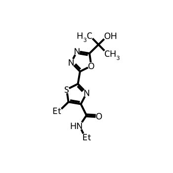 CCNC(=O)c1nc(-c2nnc(C(C)(C)O)o2)sc1CC